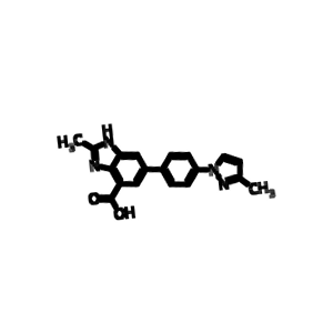 Cc1ccn(-c2ccc(-c3cc(C(=O)O)c4nc(C)[nH]c4c3)cc2)n1